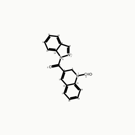 O=[C]N1[C]C(C(=O)N2[N+]=[C]c3ccccc32)=Cc2ccccc21